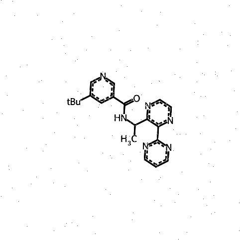 CC(NC(=O)c1cncc(C(C)(C)C)c1)c1nccnc1-c1ncccn1